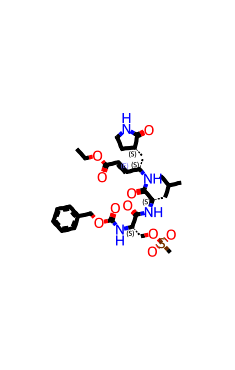 CCOC(=O)/C=C/[C@H](C[C@@H]1CCNC1=O)NC(=O)[C@H](CC(C)C)NC(=O)[C@H](COS(C)(=O)=O)NC(=O)OCc1ccccc1